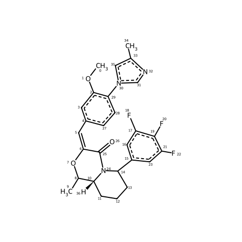 COc1cc(/C=C2/OC(C)[C@H]3CCCC(c4cc(F)c(F)c(F)c4)N3C2=O)ccc1-n1cnc(C)c1